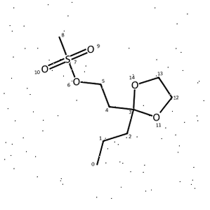 CCCC1(CCOS(C)(=O)=O)OCCO1